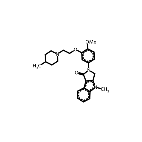 COc1ccc(N2Cc3c(c4ccccc4n3C)C2=O)cc1OCCN1CCC(C)CC1